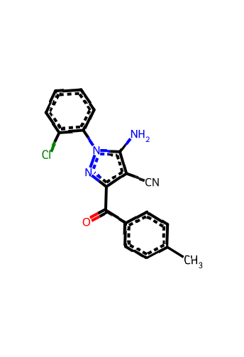 Cc1ccc(C(=O)c2nn(-c3ccccc3Cl)c(N)c2C#N)cc1